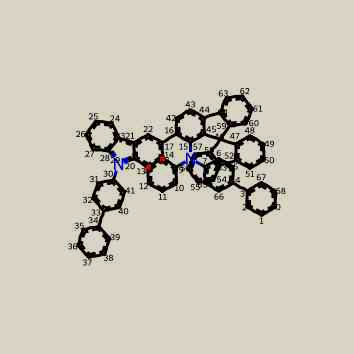 c1ccc(-c2ccc(N(c3ccccc3)c3c(-c4ccc5c(c4)c4ccccc4n5-c4ccc(-c5ccccc5)cc4)ccc4c3C3(c5ccccc5-c5ccccc53)c3ccccc3-4)cc2)cc1